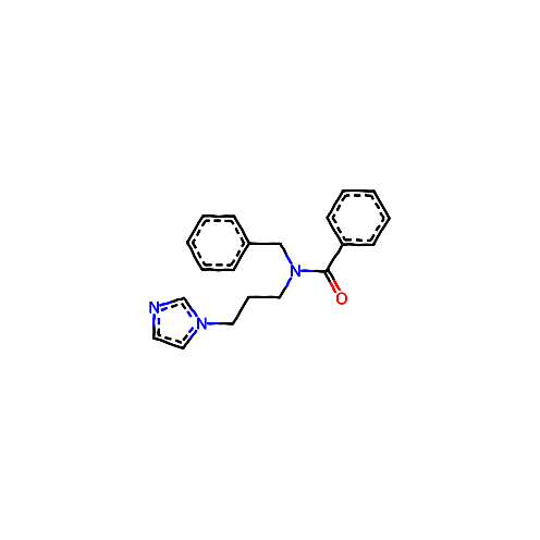 O=C(c1ccccc1)N(CCCn1ccnc1)Cc1ccccc1